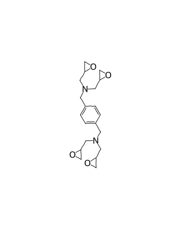 c1cc(CN(CC2CO2)CC2CO2)ccc1CN(CC1CO1)CC1CO1